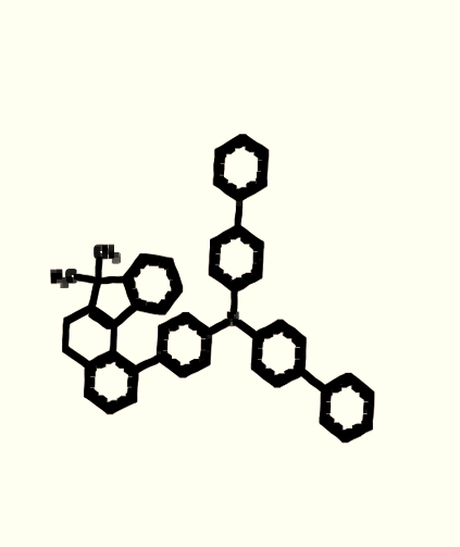 CC1(C)C2=C(c3ccccc31)c1c(cccc1-c1ccc(N(c3ccc(-c4ccccc4)cc3)c3ccc(-c4ccccc4)cc3)cc1)CC2